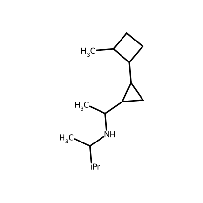 CC(C)C(C)NC(C)C1CC1C1CCC1C